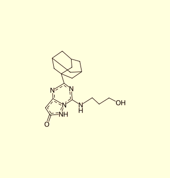 O=c1cc2nc(C34CC5CC(CC(C5)C3)C4)nc(NCCCO)n2[nH]1